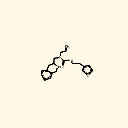 C=CCN(CC1Cc2ccccc2CN1)C(=O)NCCc1ccsc1